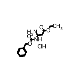 CCOC(=O)CC(N)NC(=O)OCc1ccccc1.Cl